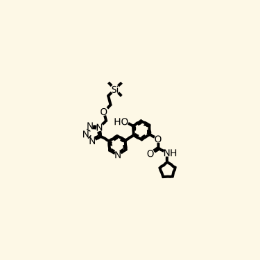 C[Si](C)(C)CCOCn1nnnc1-c1cncc(-c2cc(OC(=O)NC3CCCC3)ccc2O)c1